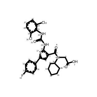 O=C(O)CN(C(=O)c1cc(-c2ccc(F)cc2)sc1NC(=O)Nc1c(Cl)cccc1Cl)C1CCCCC1